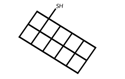 SC12CC3CC4C5C6C7CC8CC9C%10C1C5(C342)C6%10C879